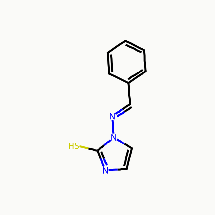 Sc1nccn1/N=C/c1ccccc1